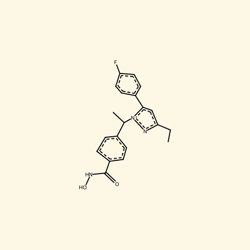 CCc1cc(-c2ccc(F)cc2)n(C(C)c2ccc(C(=O)NO)cc2)n1